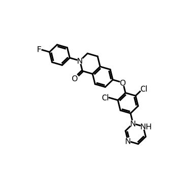 O=C1c2ccc(Oc3c(Cl)cc(N4C=NC=CN4)cc3Cl)cc2CCN1c1ccc(F)cc1